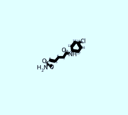 NS(=O)(=O)C=CCCC(=O)Nc1ccc(Cl)cc1